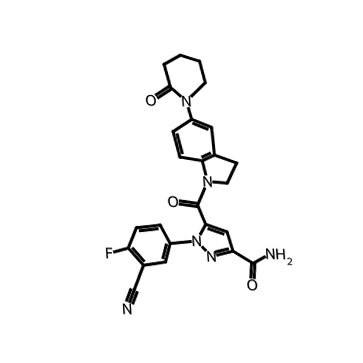 N#Cc1cc(-n2nc(C(N)=O)cc2C(=O)N2CCc3cc(N4CCCCC4=O)ccc32)ccc1F